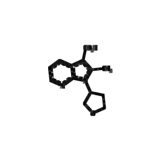 Cc1c(C(=O)O)c2cccnc2n1C1CCOC1